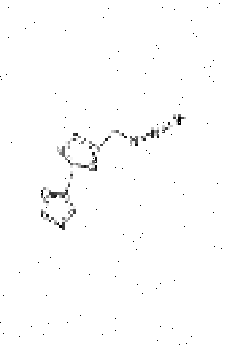 [N-]=[N+]=NCc1cnc(-c2cnco2)s1